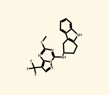 CSc1nc(N[C@@H]2CCc3[nH]c4ccccc4c3C2)n2ncc(C(F)(F)F)c2n1